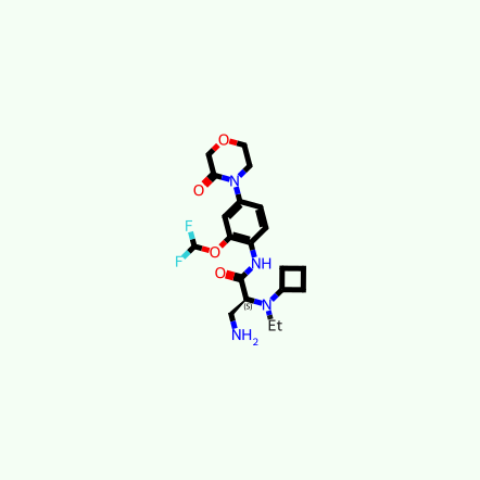 CCN(C1CCC1)[C@@H](CN)C(=O)Nc1ccc(N2CCOCC2=O)cc1OC(F)F